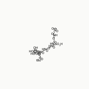 CC(C)(C)C(=O)OCc1ccc(O[C@@H]2O[C@H](CO)[C@H](O)[C@H](O)[C@H]2O)c(NC(=O)CCNC(=O)COCCNC(=O)[C@@H](CS(=O)(=O)O)NC(=O)CCOCCNC(=O)CCN2C(=O)C=CC2=O)c1